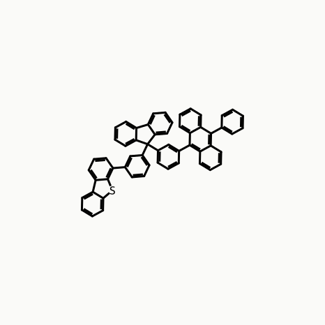 c1ccc(-c2c3ccccc3c(-c3cccc(C4(c5cccc(-c6cccc7c6sc6ccccc67)c5)c5ccccc5-c5ccccc54)c3)c3ccccc23)cc1